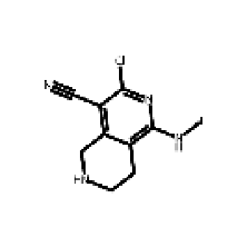 N#Cc1c(Cl)nc(NI)c2c1CNCC2